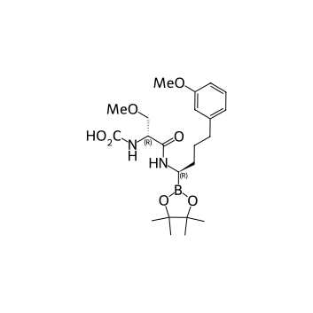 COC[C@@H](NC(=O)O)C(=O)N[C@@H](CCCc1cccc(OC)c1)B1OC(C)(C)C(C)(C)O1